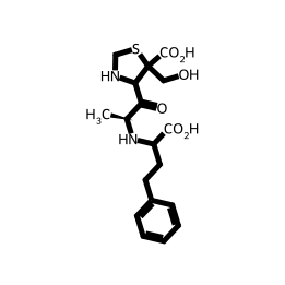 C[C@H](NC(CCc1ccccc1)C(=O)O)C(=O)C1NCSC1(CO)C(=O)O